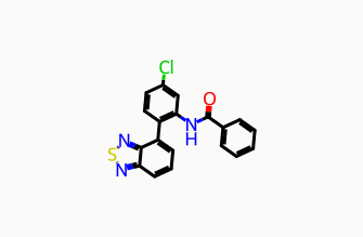 O=C(Nc1cc(Cl)ccc1-c1cccc2nsnc12)c1ccccc1